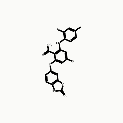 NC(=O)c1c(Nc2ccc(I)cc2F)cc(F)cc1Oc1ccc2[nH]c(=O)oc2c1